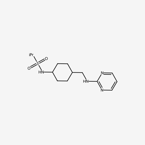 CC(C)S(=O)(=O)NC1CCC(CNc2ncccn2)CC1